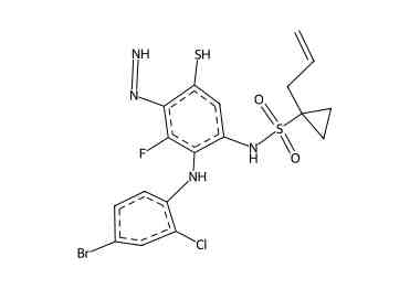 C=CCC1(S(=O)(=O)Nc2cc(S)c(N=N)c(F)c2Nc2ccc(Br)cc2Cl)CC1